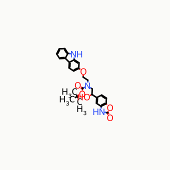 CC(C)(C)OC(=O)N(CCOc1ccc2c(c1)[nH]c1ccccc12)CC(O)c1ccc2oc(=O)[nH]c2c1